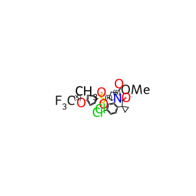 COC(=O)[C@@H]1C[C@@H](S(=O)(=O)c2ccc(O[C@@H](C)C(F)(F)F)cc2Cl)CN1C(=O)C1(c2ccc(Cl)cc2)CC1